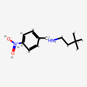 CC(C)(C)CCNCc1ccc([N+](=O)[O-])cc1